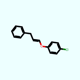 Clc1ccc(OC=CCc2ccccc2)cc1